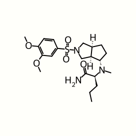 CCC[C@@H](C(N)=O)N(C)[C@H]1CC[C@@H]2CN(S(=O)(=O)c3ccc(OC)c(OC)c3)C[C@@H]21